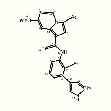 COc1ccn2c(C(C)=O)cc(C(=O)Nc3cccc(-c4cn[nH]c4)c3F)c2c1